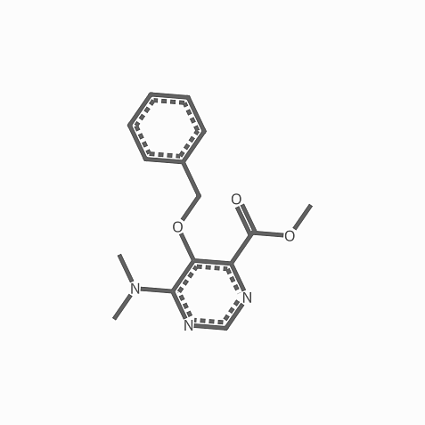 COC(=O)c1ncnc(N(C)C)c1OCc1ccccc1